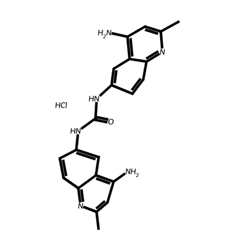 Cc1cc(N)c2cc(NC(=O)Nc3ccc4nc(C)cc(N)c4c3)ccc2n1.Cl